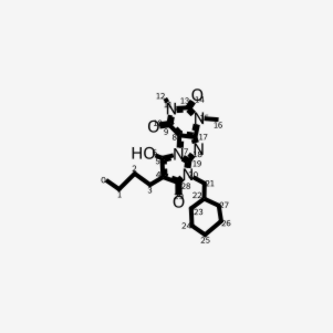 CCCCc1c(O)n2c3c(=O)n(C)c(=O)n(C)c3nc2n(CC2CCCCC2)c1=O